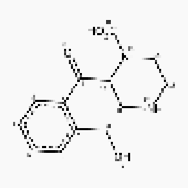 O=C(c1ccccc1CO)C1CNCCN1C(=O)O